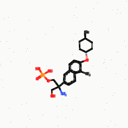 CC(C)(C)[C@H]1CC[C@H](Oc2ccc3cc(C(N)(CO)COP(=O)(O)O)ccc3c2C(F)(F)F)CC1